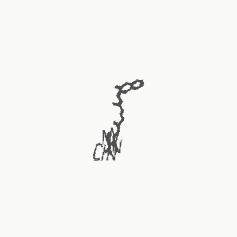 C/C(=C\Cc1cc2ccccc2cc1C)CC/C=C(\C)Cn1cnc2c(Cl)ncnc21